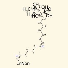 CCCCCCCCC/C=C\CCCC/C=C\CCCCCCC(O)(C[N+](C)(C)C)P(=O)(O)O